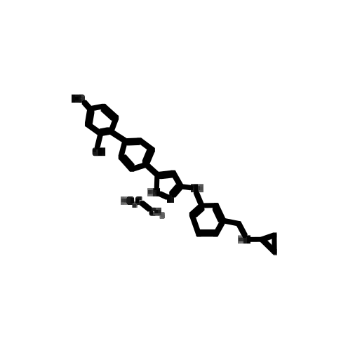 CC(=O)O.Oc1ccc(-c2ccc(-c3cc(Nc4cccc(CNC5CC5)c4)n[nH]3)cc2)c(O)c1